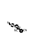 N#Cc1cccc(-c2nn3ccc(N4CCN(CCF)CC4)nc3c2C#N)c1